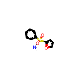 O=S(=O)(c1ccccc1)c1ccco1.[N]